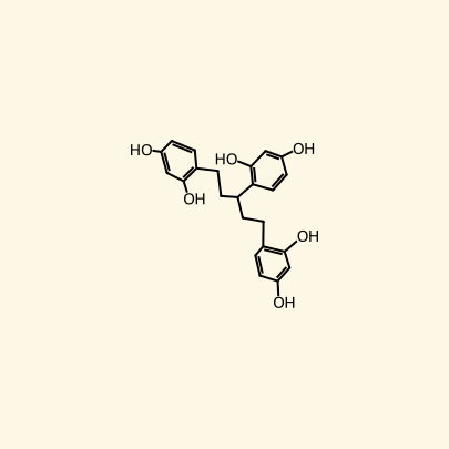 Oc1ccc(CCC(CCc2ccc(O)cc2O)c2ccc(O)cc2O)c(O)c1